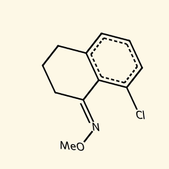 CON=C1CCCc2cccc(Cl)c21